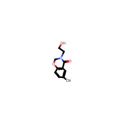 N#Cc1ccc2c(c1)C(=O)N(CCO)CO2